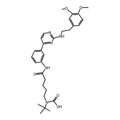 COc1ccc(CCNc2nccc(-c3cccc(NC(=O)CCCCN(C(=O)O)C(C)(C)C)c3)n2)cc1OC